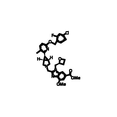 COC(=O)c1cc(OC)c2nc(CN3C[C@@H]4[C@H](C3)[C@H]4c3nc(OCc4ccc(Cl)cc4F)ccc3C)n(C[C@@H]3CCO3)c2c1